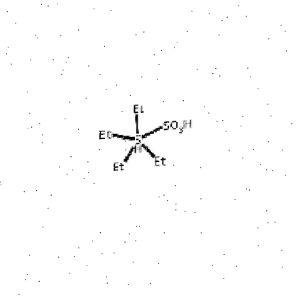 CC[SH](CC)(CC)(CC)S(=O)(=O)O